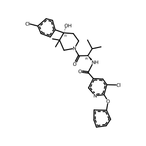 CC(C)[C@@H](NC(=O)c1cnc(Oc2ccccc2)c(Cl)c1)C(=O)N1CC[C@](O)(c2ccc(Cl)cc2)C(C)(C)C1